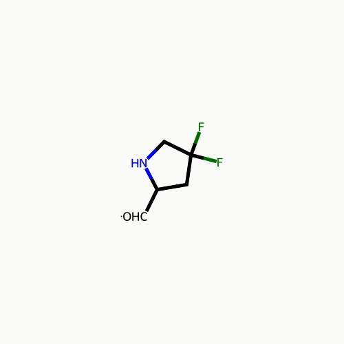 O=[C]C1CC(F)(F)CN1